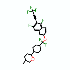 CC1CCC(C2CCC(C(F)(F)Oc3ccc4c(F)c(C#CC(F)(F)F)c(F)cc4c3)CC2)OC1